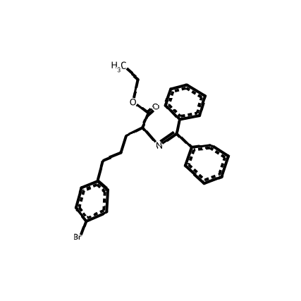 CCOC(=O)C(CCCc1ccc(Br)cc1)N=C(c1ccccc1)c1ccccc1